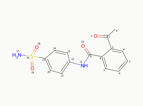 CC(=O)c1ccccc1C(=O)Nc1ccc(S(N)(=O)=O)cc1